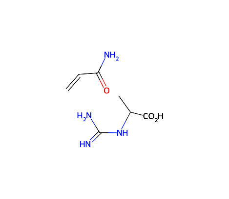 C=CC(N)=O.CC(NC(=N)N)C(=O)O